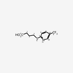 O=C(O)CCCSc1ccc(C(F)(F)F)cn1